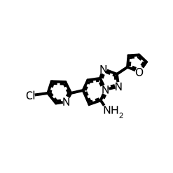 Nc1cc(-c2ccc(Cl)cn2)cc2nc(-c3ccco3)nn12